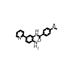 CN(C)c1ccc(C(=O)Nc2cc(-c3ccccn3)ccc2N)cc1